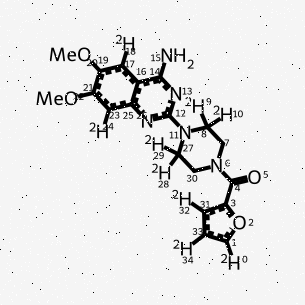 [2H]c1oc(C(=O)N2CC([2H])([2H])N(c3nc(N)c4c([2H])c(OC)c(OC)c([2H])c4n3)C([2H])([2H])C2)c([2H])c1[2H]